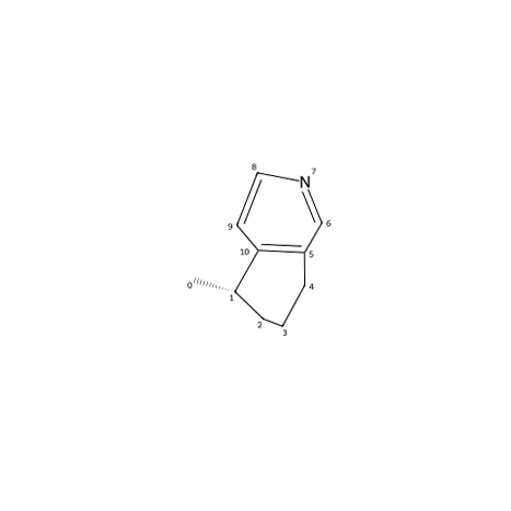 C[C@H]1CCCc2cnccc21